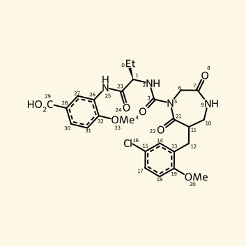 CC[C@@H](NC(=O)N1CC(=O)NCC(Cc2cc(Cl)ccc2OC)C1=O)C(=O)Nc1cc(C(=O)O)ccc1OC